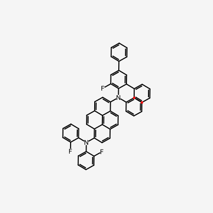 Fc1ccccc1N(c1ccccc1F)c1ccc2ccc3c(N(c4ccccc4)c4c(F)cc(-c5ccccc5)cc4-c4ccccc4)ccc4ccc1c2c43